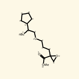 CCCCC(COCCCC1(C(=O)OC)CO1)C1CCCC1